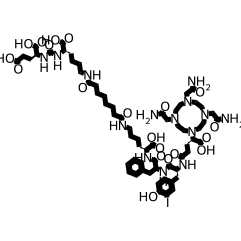 NC(=O)CN1CCN(CC(N)=O)CCN([C@@H](CCC(=O)N[C@H](Cc2ccc(O)c(I)c2)C(=O)NC(Cc2ccccc2)C(=O)N[C@H](CCCCNC(=O)CCCCCCC(=O)NCCCC[C@H](NC(=O)N[C@@H](CCC(=O)O)C(=O)O)C(=O)O)C(=O)O)C(=O)O)CCN(CC(N)=O)CC1